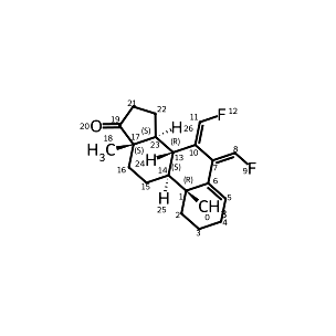 C[C@]12CCCC=C1C(=CF)C(=CF)[C@@H]1[C@@H]2CC[C@]2(C)C(=O)CC[C@@H]12